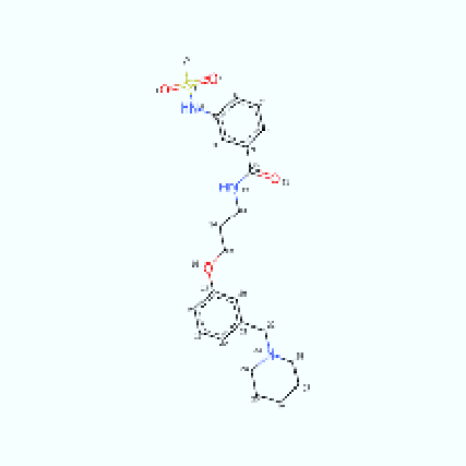 CS(=O)(=O)Nc1cccc(C(=O)NCCCOc2cccc(CN3CCCCC3)c2)c1